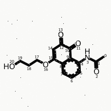 CC(=O)Nc1cccc2c1C(=O)C(=O)C=C2OCCCO